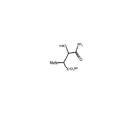 CNC(C(=O)O)C(O)C(N)=O